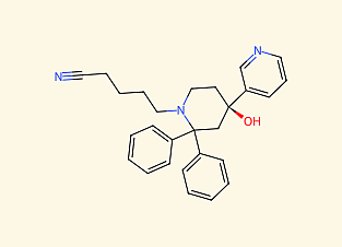 N#CCCCCN1CC[C@](O)(c2cccnc2)CC1(c1ccccc1)c1ccccc1